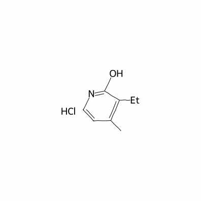 CCc1c(C)ccnc1O.Cl